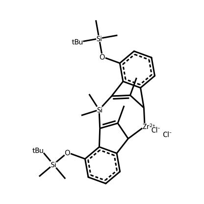 CC1=C2c3c(O[Si](C)(C)C(C)(C)C)cccc3[CH]1[Zr+2][CH]1C(C)=C(c3c(O[Si](C)(C)C(C)(C)C)cccc31)[Si]2(C)C.[Cl-].[Cl-]